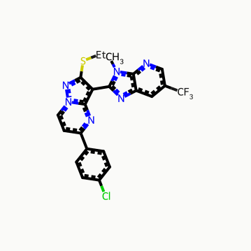 CCSc1nn2ccc(-c3ccc(Cl)cc3)nc2c1-c1nc2cc(C(F)(F)F)cnc2n1C